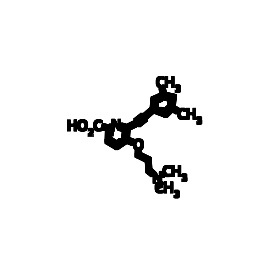 Cc1cc(C)cc(C#Cc2nc(C(=O)O)ccc2OCCCN(C)C)c1